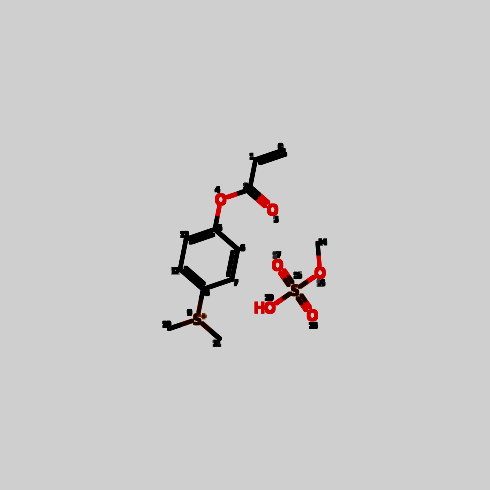 C=CC(=O)Oc1ccc([S+](C)C)cc1.COS(=O)(=O)O